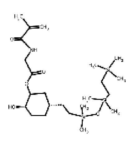 C=C(C)C(=O)NCC(=O)OC1C[C@H](CC[Si](C)(C)O[Si](C)(C)CC[Si](C)(C)C)CC[C@H]1O